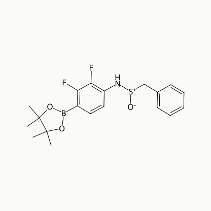 CC1(C)OB(c2ccc(N[S+]([O-])Cc3ccccc3)c(F)c2F)OC1(C)C